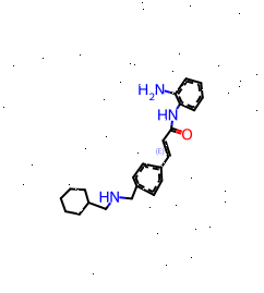 Nc1ccccc1NC(=O)/C=C/c1ccc(CNCC2CCCCC2)cc1